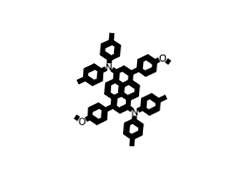 COc1ccc(-c2cc(N(c3ccc(C)cc3)c3ccc(C)cc3)c3ccc4c(-c5ccc(OC)cc5)cc(N(c5ccc(C)cc5)c5ccc(C)cc5)c5ccc2c3c45)cc1